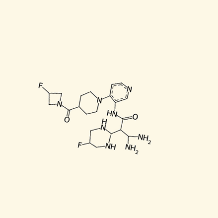 NC(N)C(C(=O)Nc1cnccc1N1CCC(C(=O)N2CC(F)C2)CC1)C1NCC(F)CN1